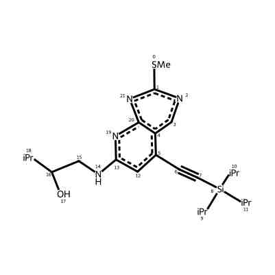 CSc1ncc2c(C#C[Si](C(C)C)(C(C)C)C(C)C)cc(NCC(O)C(C)C)nc2n1